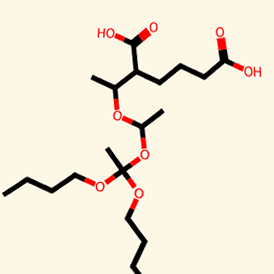 CCCCOC(C)(OCCCC)OC(C)OC(C)C(CCCC(=O)O)C(=O)O